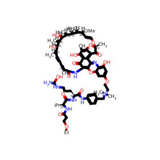 CCOCCC(=O)N[C@H](C(=O)N[C@@H](CCCNC(N)O)C(=O)Nc1ccc(C[N+](C)(C)CCOc2cc(O)c3nc4c5c6c7c(C)c(O)c5c(=O)c(c-4oc3c2)NC(=O)/C(C)=C\C=C\[C@H](C)[C@H](O)[C@@H](C)[C@@H](O)[C@@H](C)[C@H](OC(C)=O)[C@H](C)[C@@H](OC)/C=C/O[C@@](C)(O7)C6=O)cc1)C(C)C